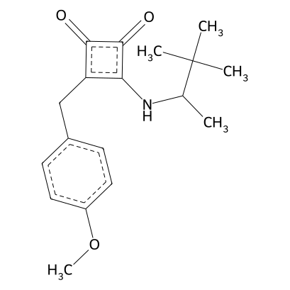 COc1ccc(Cc2c(NC(C)C(C)(C)C)c(=O)c2=O)cc1